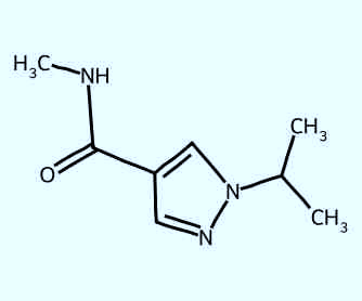 CNC(=O)c1cnn(C(C)C)c1